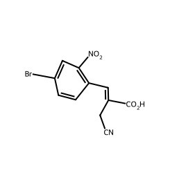 N#CC/C(=C\c1ccc(Br)cc1[N+](=O)[O-])C(=O)O